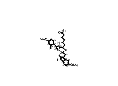 CCC(=O)CCCCCC(NC(=O)Cc1c(C)[nH]c2ccc(OC)cc12)c1ncc(-c2ccc(OC)cc2F)[nH]1